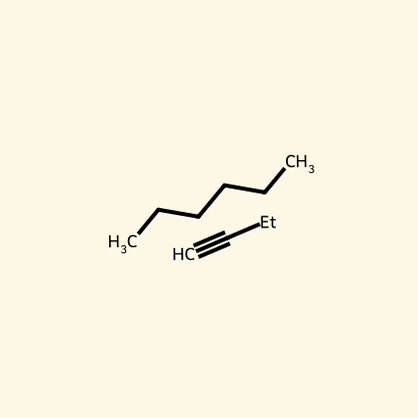 C#CCC.CCCCCC